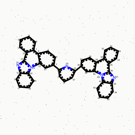 c1cc(-c2ccc3c4ccccc4c4nc5ccccc5n4c3c2)nc(-c2ccc3c4ccccc4c4nc5ccccc5n4c3c2)c1